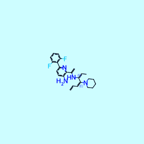 C=C/C=C(\C(=C/C)NC(=C)c1nc(-c2c(F)cccc2F)ccc1N)N1CCCCC1